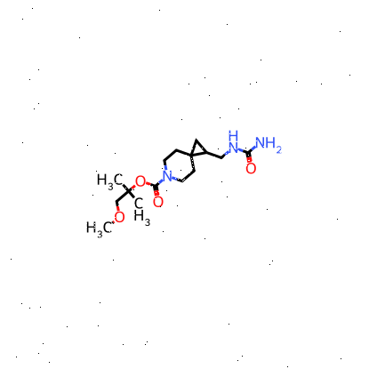 COCC(C)(C)OC(=O)N1CCC2(CC1)CC2CNC(N)=O